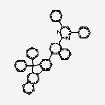 c1ccc(-c2cc(-c3ccccc3)nc(-c3ccc(-c4ccc5c(c4)C(c4ccccc4)(c4ccccc4)c4cc6ccccc6cc4-5)c4ccccc34)n2)cc1